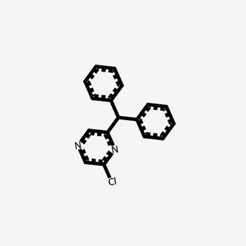 Clc1cncc(C(c2ccccc2)c2ccccc2)n1